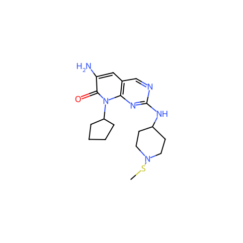 CSN1CCC(Nc2ncc3cc(N)c(=O)n(C4CCCC4)c3n2)CC1